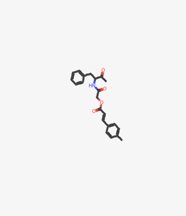 CC(=O)C(Cc1ccccc1)NC(=O)COC(=O)C=Cc1ccc(C)cc1